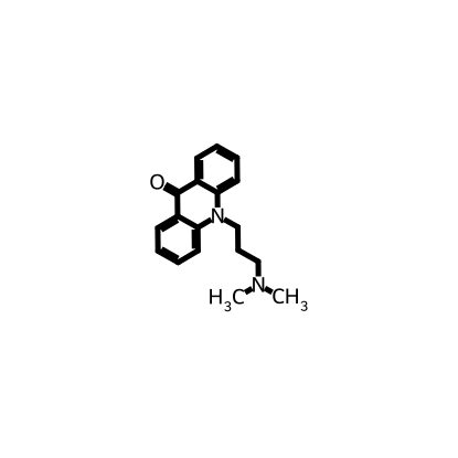 CN(C)CCCn1c2ccccc2c(=O)c2ccccc21